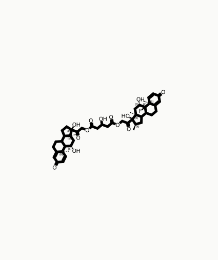 C[C@@H]1CC2C3CCC4=CC(=O)C=C[C@]4(C)[C@@]3(F)[C@@H](O)C[C@]2(C)[C@@]1(O)C(=O)COC(=O)CC(O)CC(=O)OCC(=O)[C@@]1(O)CCC2C3CCC4=CC(=O)C=C[C@]4(C)C3[C@@H](O)C[C@@]21C